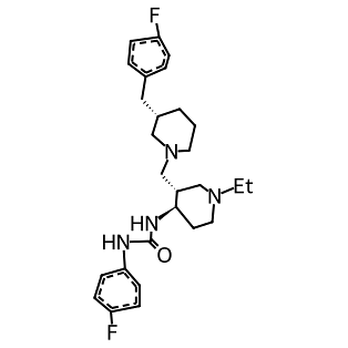 CCN1CC[C@@H](NC(=O)Nc2ccc(F)cc2)[C@H](CN2CCC[C@@H](Cc3ccc(F)cc3)C2)C1